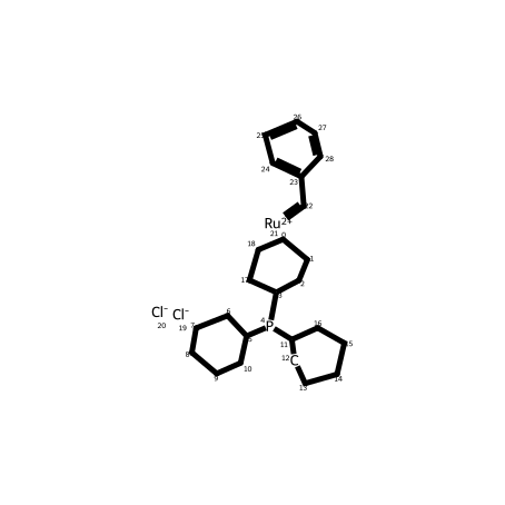 C1CCC(P(C2CCCCC2)C2CCCCC2)CC1.[Cl-].[Cl-].[Ru+2]=[CH]c1ccccc1